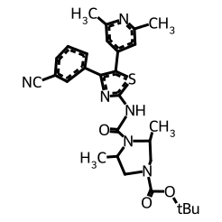 Cc1cc(-c2sc(NC(=O)N3C(C)CN(C(=O)OC(C)(C)C)CC3C)nc2-c2cccc(C#N)c2)cc(C)n1